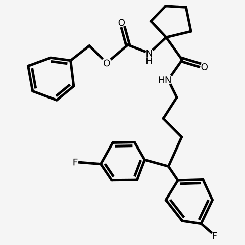 O=C(NC1(C(=O)NCCCC(c2ccc(F)cc2)c2ccc(F)cc2)CCCC1)OCc1ccccc1